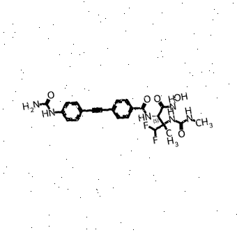 CNC(=O)NC(C)(C(F)F)[C@H](NC(=O)c1ccc(C#Cc2ccc(NC(N)=O)cc2)cc1)C(=O)NO